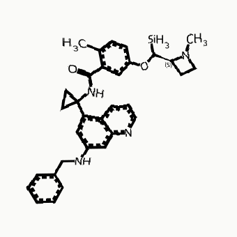 Cc1ccc(OC([SiH3])[C@@H]2CCN2C)cc1C(=O)NC1(c2cc(NCc3ccccc3)cc3ncccc23)CC1